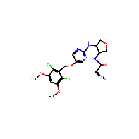 C=CC(=O)NC1COCC1Nc1ncc(OCc2c(Cl)c(OC)cc(OC)c2Cl)cn1